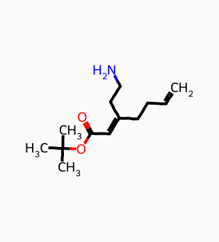 C=CCC/C(=C/C(=O)OC(C)(C)C)CCN